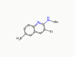 Bc1ccc2nc(NCCCC)c(CC)cc2c1